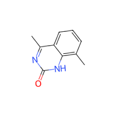 Cc1nc(=O)[nH]c2c(C)cccc12